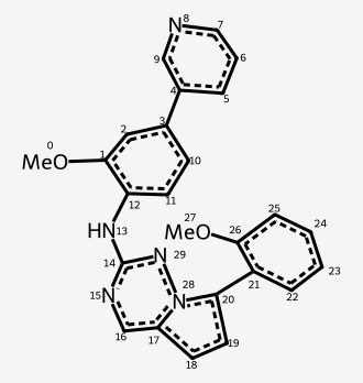 COc1cc(-c2cccnc2)ccc1Nc1ncc2ccc(-c3ccccc3OC)n2n1